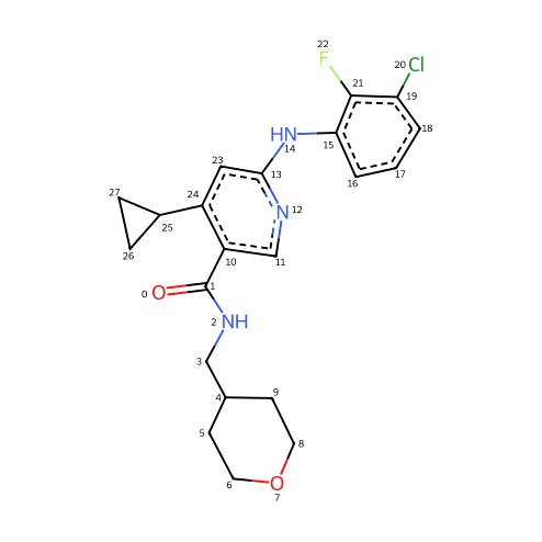 O=C(NCC1CCOCC1)c1cnc(Nc2cccc(Cl)c2F)cc1C1CC1